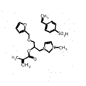 C=C(C)C(=O)OC(COCc1ccco1)CN1C=CN(C)C1.C=Cc1ccc(S(=O)(=O)O)cc1